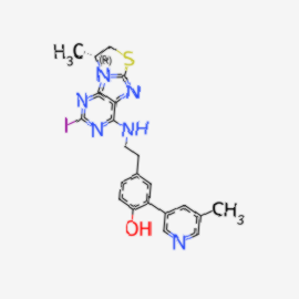 Cc1cncc(-c2cc(CCNc3nc(I)nc4c3nc3n4[C@H](C)CS3)ccc2O)c1